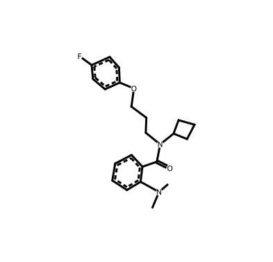 CN(C)c1ccccc1C(=O)N(CCCOc1ccc(F)cc1)C1CCC1